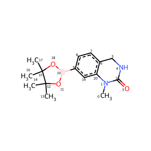 CN1C(=O)NCc2ccc(B3OC(C)(C)C(C)(C)O3)cc21